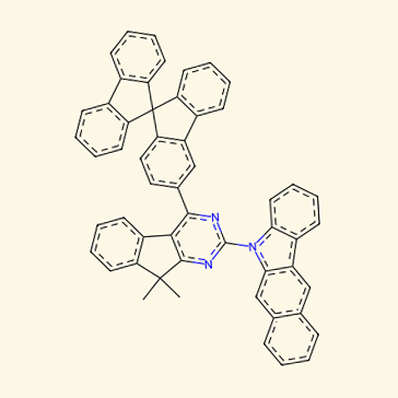 CC1(C)c2ccccc2-c2c(-c3ccc4c(c3)-c3ccccc3C43c4ccccc4-c4ccccc43)nc(-n3c4ccccc4c4cc5ccccc5cc43)nc21